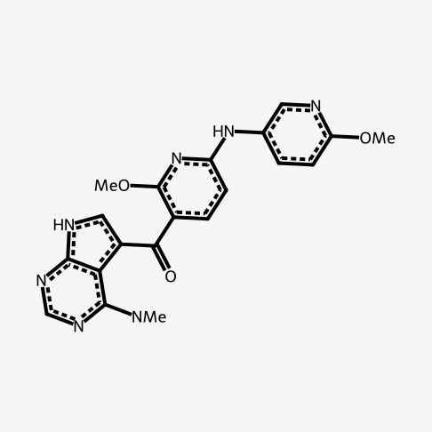 CNc1ncnc2[nH]cc(C(=O)c3ccc(Nc4ccc(OC)nc4)nc3OC)c12